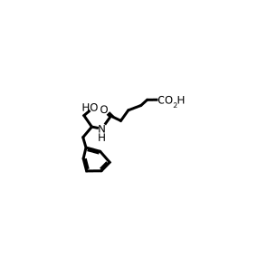 O=C(O)CCCCC(=O)NC(CO)Cc1ccccc1